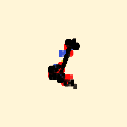 COC(=O)c1cccc(CN(CCO)CCOC[C@@H](CSCCCCCNC(=O)CCC(=O)N2Cc3ccccc3C3=C(C3)c3ccccc32)OCCN(CCO)Cc2cccc(C(=O)OC)n2)n1